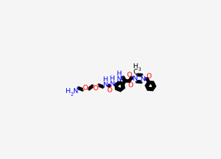 CC1CN(C(=O)c2ccccc2)CCN1C(=O)C(=O)c1c[nH]c2c(NC(=O)NCCOCCOCCN)cccc12